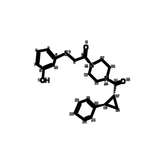 O=C(CSc1cccc(O)c1)N1CCN(C(=O)[C@@H]2C[C@H]2c2ccccc2)CC1